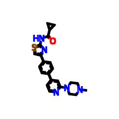 CN1CCN(c2cc(-c3ccc(-c4csc(NC(=O)C5CC5)n4)cc3)ccn2)CC1